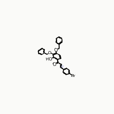 O=C(/C=C/c1ccc(Br)cc1)c1ccc(OCc2ccccc2)c(OCc2ccccc2)c1O